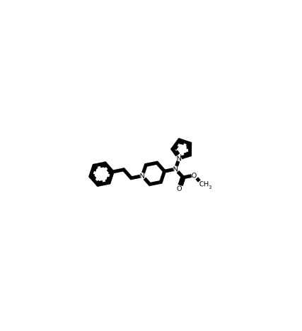 COC(=O)N(C1CCN(CCc2ccccc2)CC1)n1cccc1